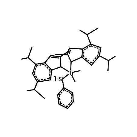 CC1=Cc2c(C(C)C)cc(C(C)C)cc2[CH]1[Ti]([CH3])([CH3])([CH]1C(C)=Cc2c(C(C)C)cc(C(C)C)cc21)[SiH](C)c1ccccc1